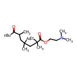 CCCCC(=O)C(C)CC(C)(CC(C)(CC)C(=O)OCCN(C)C)C(C)=O